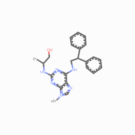 CCCn1cnc2c(NCC(c3ccccc3)c3ccccc3)nc(NC(CC)CO)nc21